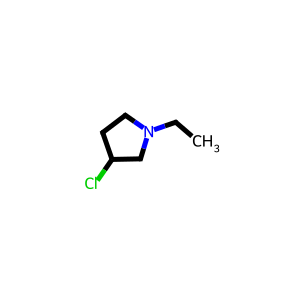 CCN1CCC(Cl)C1